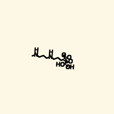 CNCCCNCCCS(=O)(=O)P(=O)(O)O